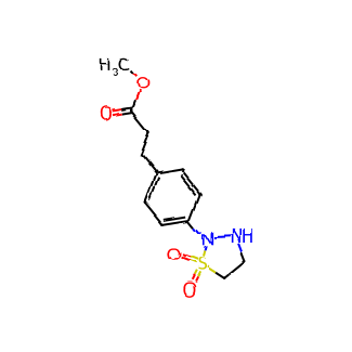 COC(=O)CCc1ccc(N2NCCS2(=O)=O)cc1